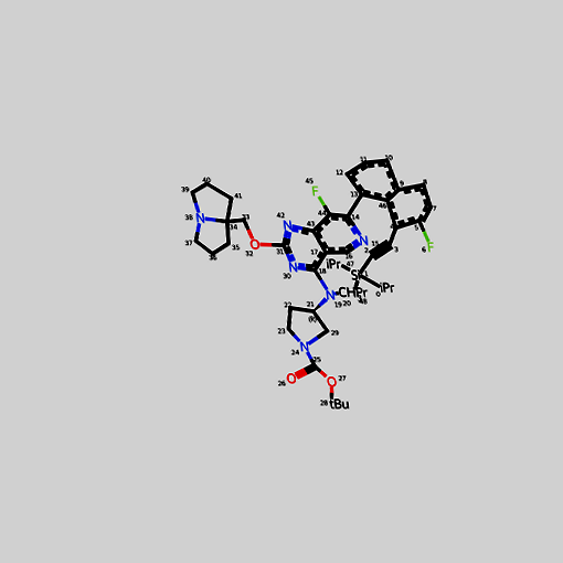 CC(C)[Si](C#Cc1c(F)ccc2cccc(-c3ncc4c(N(C)[C@@H]5CCN(C(=O)OC(C)(C)C)C5)nc(OCC56CCCN5CCC6)nc4c3F)c12)(C(C)C)C(C)C